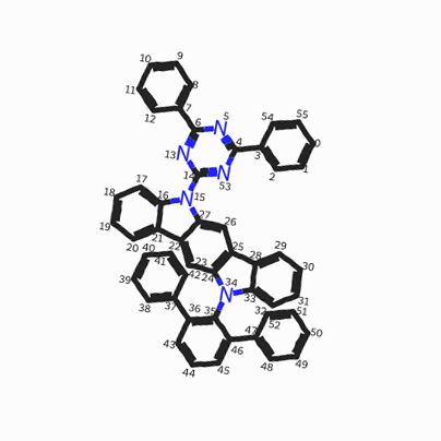 c1ccc(-c2nc(-c3ccccc3)nc(-n3c4ccccc4c4cc5c(cc43)c3ccccc3n5-c3c(-c4ccccc4)cccc3-c3ccccc3)n2)cc1